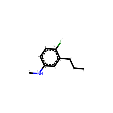 CCCc1cc(NC)ccc1F